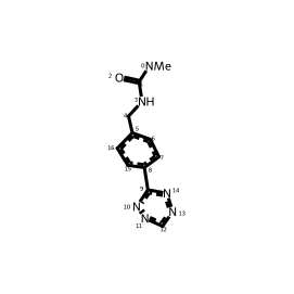 CNC(=O)NCc1ccc(-c2nncnn2)cc1